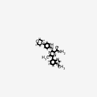 Cc1nc(Nc2ccc(N3CCOCC3)cc2)c(C(N)=O)nc1-c1cccc2c1ncn2C